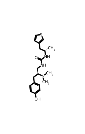 C[C@@H](Cc1ccsc1)NC(=O)NC[C@H](Cc1ccc(O)cc1)N(C)C